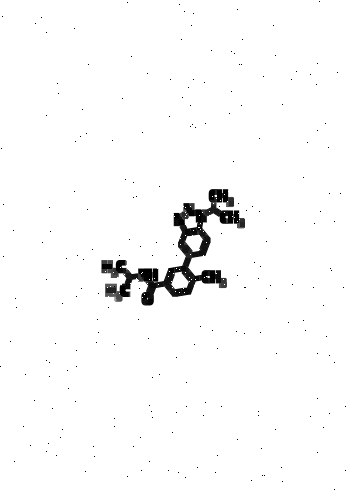 Cc1ccc(C(=O)NC(C)C)cc1-c1ccc2c(c1)nnn2C(C)C